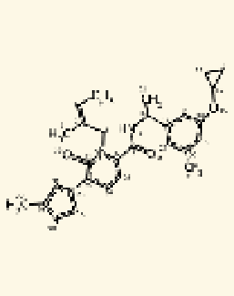 C/C=C(/C)Cn1c(C(=O)NC(C)c2cc(OC3CC3)cc(C(F)(F)F)c2)ccc(-n2cnc(C)c2)c1=O